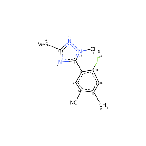 CSc1nc(-c2cc(C#N)c(C)cc2F)n(C)n1